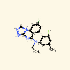 CCN(c1cc(C)cc(F)c1)c1nc2nncn2c2cc(Cl)ccc12